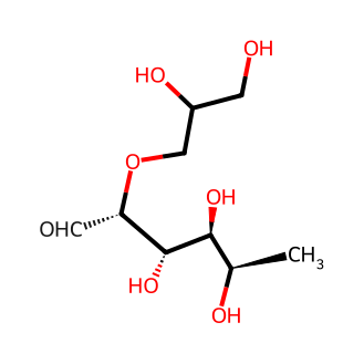 C[C@@H](O)[C@H](O)[C@H](O)[C@H](C=O)OCC(O)CO